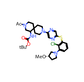 CO[C@H]1CCN(c2cccc(Sc3cnc(N4CCC5(CCN(C(C)=O)CC5NC(=O)OC(C)(C)C)CC4)cn3)c2Cl)C1